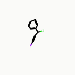 Cl[C](C#CI)c1ccccc1